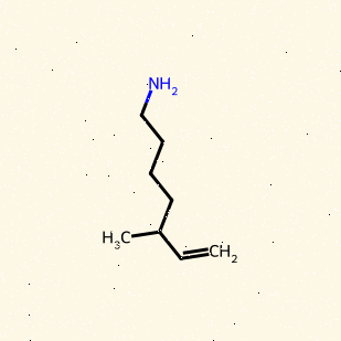 C=CC(C)CCCCN